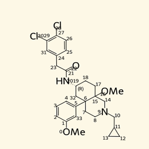 COc1cccc(C23CCN(CC4CC4)CC2(OC)CC[C@@H](NC(=O)Cc2ccc(Cl)c(Cl)c2)C3)c1